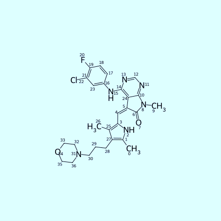 Cc1[nH]c(C=C2C(=O)N(C)c3ncnc(Nc4ccc(F)c(Cl)c4)c32)c(C)c1CCCN1CCOCC1